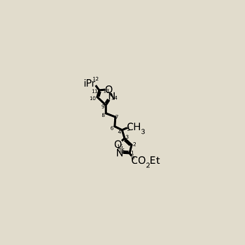 CCOC(=O)c1cc(C(C)CCCc2cc(C(C)C)on2)on1